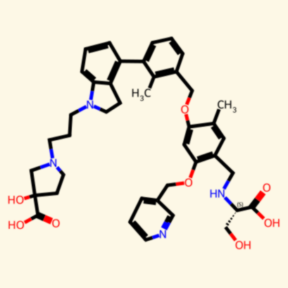 Cc1cc(CN[C@@H](CO)C(=O)O)c(OCc2cccnc2)cc1OCc1cccc(-c2cccc3c2CCN3CCCN2CCC(O)(C(=O)O)C2)c1C